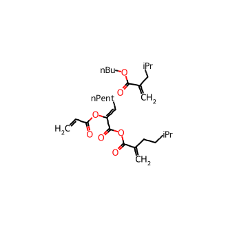 C=C(CC(C)C)C(=O)OCCCC.C=CC(=O)OC(=CCCCCC)C(=O)OC(=O)C(=C)CCC(C)C